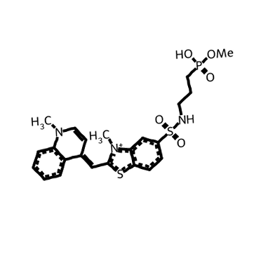 COP(=O)(O)CCCNS(=O)(=O)c1ccc2sc(/C=C3\C=CN(C)c4ccccc43)[n+](C)c2c1